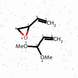 C=CC(OC)OC.C=CC1CO1